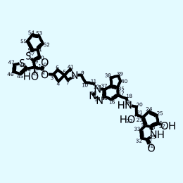 O=C(OC1CC2(C1)CN(CCCn1nnc3cc(CNC[C@H](O)c4ccc(O)c5[nH]c(=O)ccc45)c4c(c31)CCC4)C2)[C@](O)(c1cccs1)c1cc2ccccc2s1